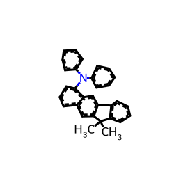 CC1(C)c2ccccc2-c2cc3c(N(c4ccccc4)c4ccccc4)cccc3cc21